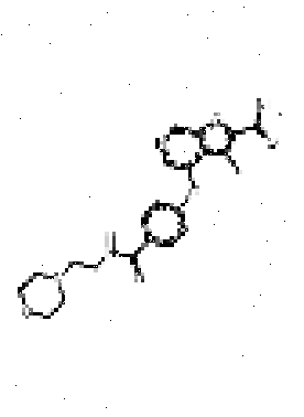 Cc1c(C(N)=O)sc2cncc(Oc3ccc(C(=O)NCCN4CCOCC4)cc3)c12